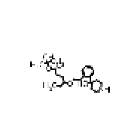 CCC(CCC(=O)OC(C)(C)C)OCCc1ccccc1C1(O)CCNCC1